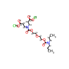 CCCN(CCC)C(=O)OCCOCCOC(=O)N(CCC(=O)OCl)CCC(=O)OCl